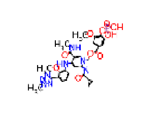 CNC(=O)c1cn(COC(=O)c2ccc(OP(=O)(O)O)c(OC)c2)/c(=N/C(=O)C2CC2)cc1Nc1cccc(-c2nnn(C)n2)c1OC